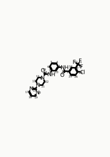 O=C(Nc1cccc(NC(=O)N2CCN(c3ncccn3)CC2)c1)c1ccc(Cl)c(C(F)(F)F)c1